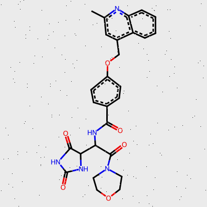 Cc1cc(COc2ccc(C(=O)NC(C(=O)N3CCOCC3)C3NC(=O)NC3=O)cc2)c2ccccc2n1